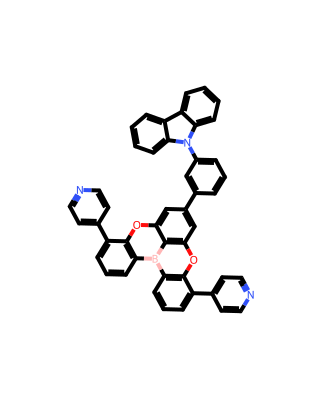 c1cc(-c2cc3c4c(c2)Oc2c(cccc2-c2ccncc2)B4c2cccc(-c4ccncc4)c2O3)cc(-n2c3ccccc3c3ccccc32)c1